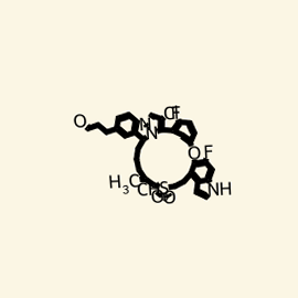 CC1(C)CCCC(c2cccc(CCC=O)c2)n2ncc(Cl)c2-c2cc(ccc2F)Oc2c(F)cc3[nH]ccc3c2CCS(=O)(=O)C1